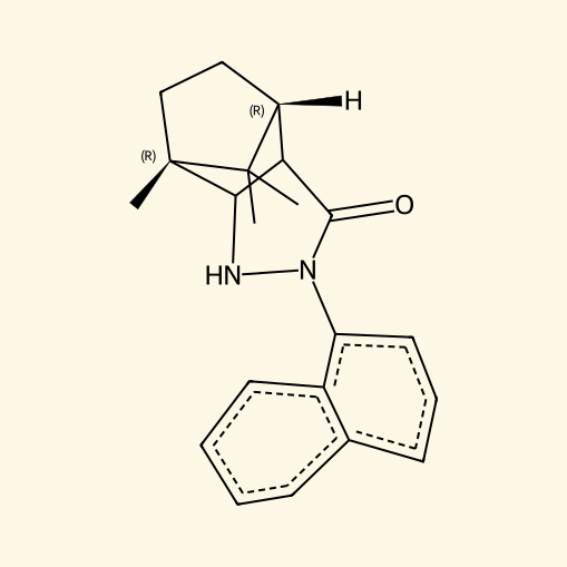 CC1(C)[C@@H]2CC[C@@]1(C)C1NN(c3cccc4ccccc34)C(=O)C12